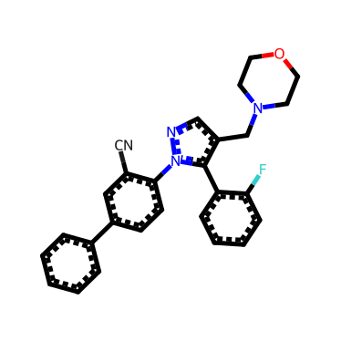 N#Cc1cc(-c2ccccc2)ccc1-n1ncc(CN2CCOCC2)c1-c1ccccc1F